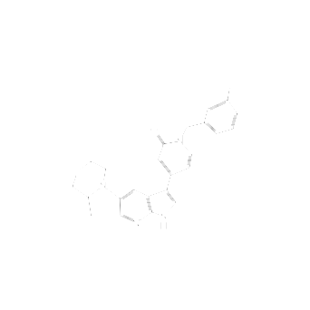 CC1COCCN1c1cnc2[nH]cc(-c3ccn(Cc4cccc(Cl)c4)c(=O)c3)c2c1